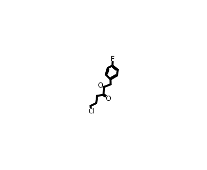 O=C(CCCCl)C(=O)Cc1ccc(F)cc1